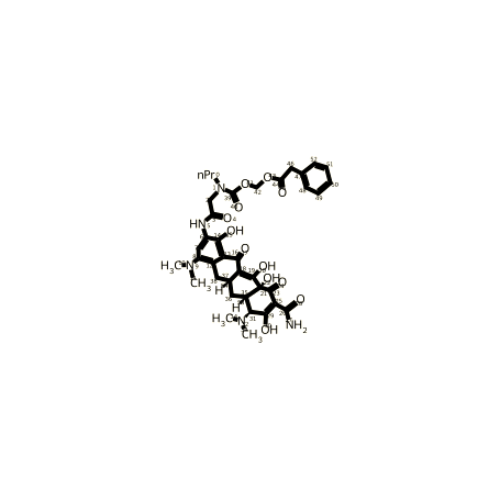 CCCN(CC(=O)Nc1cc(N(C)C)c2c(c1O)C(=O)C1=C(O)[C@]3(O)C(=O)C(C(N)=O)=C(O)[C@@H](N(C)C)[C@@H]3C[C@@H]1C2)C(=O)OCOC(=O)Cc1ccccc1